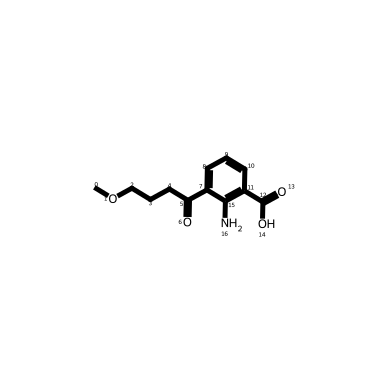 COCCCC(=O)c1cccc(C(=O)O)c1N